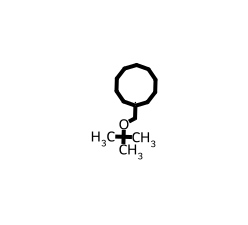 CC(C)(C)OC[C]1CCCCCCCCC1